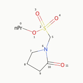 CCCOS(=O)(=O)CN1CCCC1=O